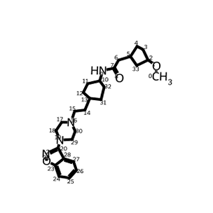 COC1CCC(CC(=O)NC2CCC(CCN3CCN(c4noc5ccccc45)CC3)CC2)C1